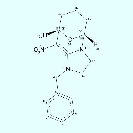 O=[N+]([O-])C1=C2N(Cc3ccccc3)CCN2[C@H]2CCC[C@@H]1O2